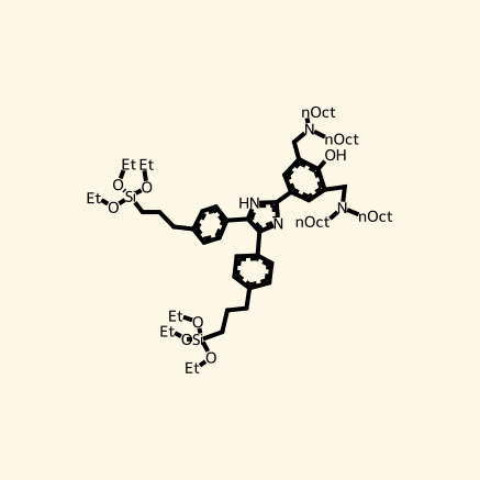 CCCCCCCCN(CCCCCCCC)Cc1cc(-c2nc(-c3ccc(CCC[Si](OCC)(OCC)OCC)cc3)c(-c3ccc(CCC[Si](OCC)(OCC)OCC)cc3)[nH]2)cc(CN(CCCCCCCC)CCCCCCCC)c1O